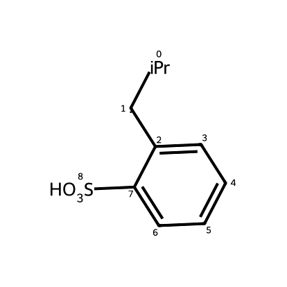 CC(C)[CH]c1ccccc1S(=O)(=O)O